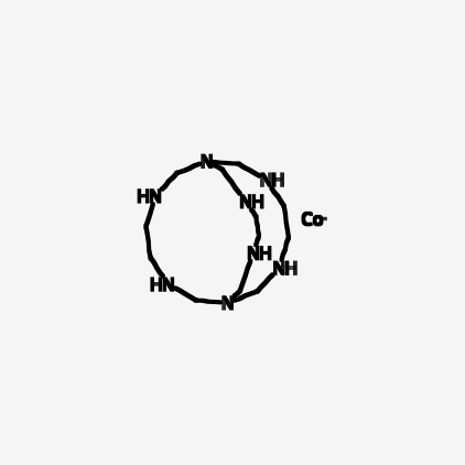 C1CNCN2CNCCNCN(CN1)CNCCNC2.[Co]